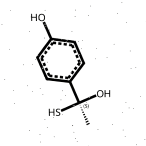 C[C@](O)(S)c1ccc(O)cc1